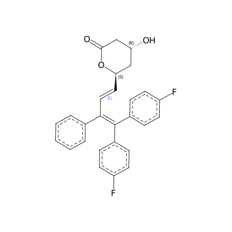 O=C1C[C@H](O)C[C@@H](/C=C/C(=C(c2ccc(F)cc2)c2ccc(F)cc2)c2ccccc2)O1